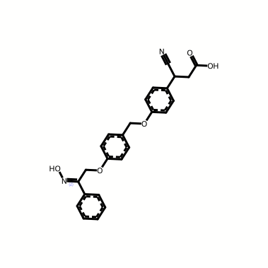 N#CC(CC(=O)O)c1ccc(OCc2ccc(OC/C(=N\O)c3ccccc3)cc2)cc1